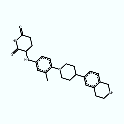 Cc1cc(NC2CCC(=O)NC2=O)ccc1N1CCC(c2ccc3c(c2)CCNC3)CC1